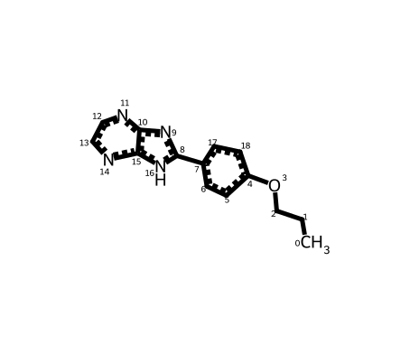 CCCOc1ccc(-c2nc3nccnc3[nH]2)cc1